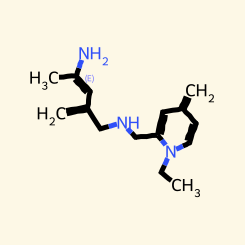 C=C1C=CN(CC)C(CNCC(=C)/C=C(\C)N)=C1